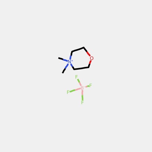 C[N+]1(C)CCOCC1.F[B-](F)(F)F